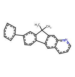 CC1(C)c2cc(-c3ccccc3)ccc2-c2cc3cccnc3cc21